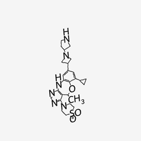 C[C@@H]1Oc2c(cc(C3CN(C4CCNC4)C3)cc2C2CC2)Nc2ncnc(N3CCS(=O)(=O)CC3)c21